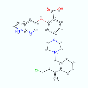 C=C(CCCl)C1=C(CN2CCN(c3ccc(C(=O)O)c(Oc4cnc5[nH]ccc5c4)c3)CC2)CCCC1